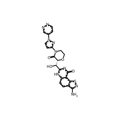 Nc1nsc2c1ccc1[nH]c(C(O)[C@H]3OCCN(c4ccn(-c5ccnnc5)n4)C3=O)nc(=O)c12